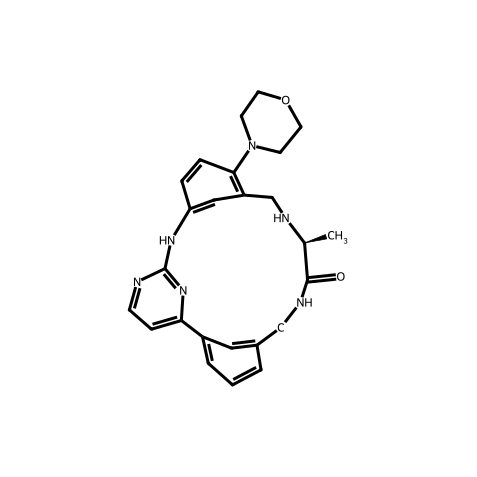 C[C@@H]1NCc2cc(ccc2N2CCOCC2)Nc2nccc(n2)-c2cccc(c2)CNC1=O